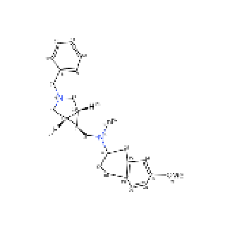 CCCN(C[C@H]1[C@@H]2CN(Cc3ccccc3)C[C@@H]21)C1CCc2ccc(OC)cc2C1